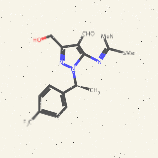 CN/C(=N\c1c(C=O)c(CO)nn1[C@@H](C)c1ccc(C(F)(F)F)cc1)SC